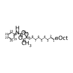 CCCCCCCCC=CCCCCCCCC(=O)C(C)OC(=O)Nc1ccccc1